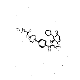 NC(=O)ON1CCN(c2ccc(Nc3nnc4ccc(=O)n(C5CCCC5)c4n3)cc2)CC1